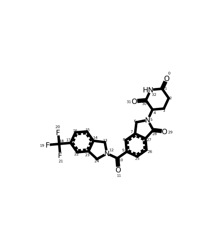 O=C1CCC(N2Cc3cc(C(=O)N4Cc5ccc(C(F)(F)F)cc5C4)ccc3C2=O)C(=O)N1